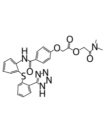 CN(C)C(=O)COC(=O)COc1ccc(C(=O)Nc2ccccc2Sc2ccccc2-c2nnn[nH]2)cc1